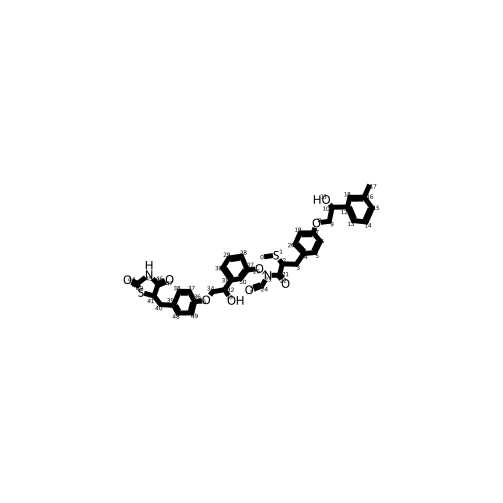 CSC(Cc1ccc(OCC(O)c2cccc(C)c2)cc1)C(=O)N(C=O)Oc1cccc(C(O)COc2ccc(CC3SC(=O)NC3=O)cc2)c1